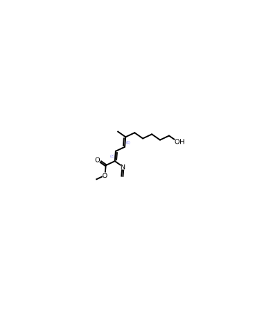 C=N/C(=C\C=C(/C)CCCCCO)C(=O)OC